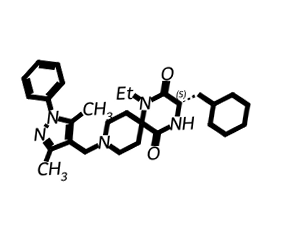 CCN1C(=O)[C@H](CC2CCCCC2)NC(=O)C12CCN(Cc1c(C)nn(-c3ccccc3)c1C)CC2